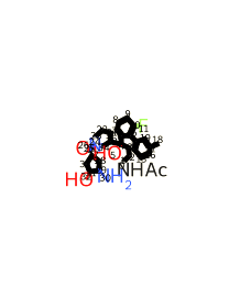 CC(=O)NCCCC(O)(c1cccc(F)c1-c1cccc(C)c1)C1CCCN(C(=O)[C@H]2C[C@@H](N)[C@@H](O)C2)C1